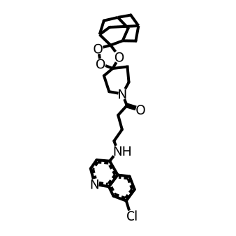 O=C(CCCNc1ccnc2cc(Cl)ccc12)N1CCC2(CC1)OOC1(O2)C2CC3CC(C2)CC1C3